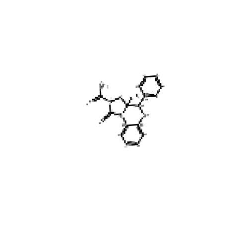 CC12CN(C(N)=O)C(=S)N1c1ccccc1OC2c1ccccc1